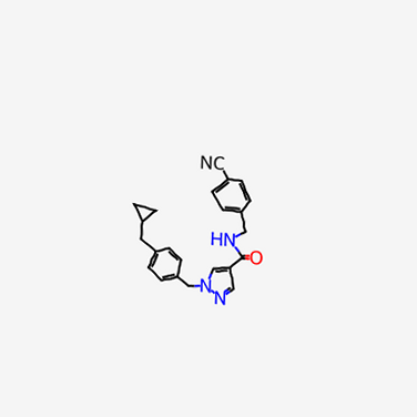 N#Cc1ccc(CNC(=O)c2cnn(Cc3ccc(CC4CC4)cc3)c2)cc1